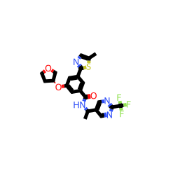 Cc1cnc(-c2cc(O[C@@H]3CCOC3)cc(C(=O)NC(C)c3cnc(C(F)(F)F)nc3)c2)s1